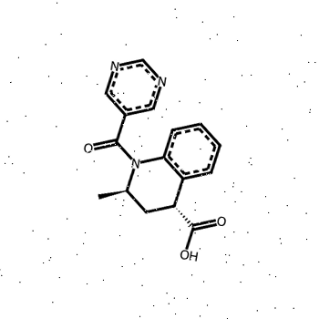 C[C@@H]1C[C@@H](C(=O)O)c2ccccc2N1C(=O)c1cncnc1